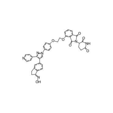 O=C1CCC(N2C(=O)c3cccc(OCCOc4ccc(-n5cc(-c6ccc7c(c6)CC/C7=N\O)c(-c6ccncc6)n5)cc4)c3C2=O)C(=O)N1